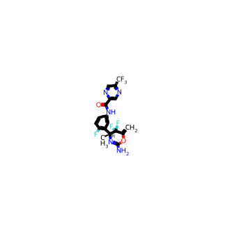 C=C1OC(N)=N[C@](C)(c2cc(NC(=O)c3cnc(C(F)(F)F)cn3)ccc2F)C1(F)F